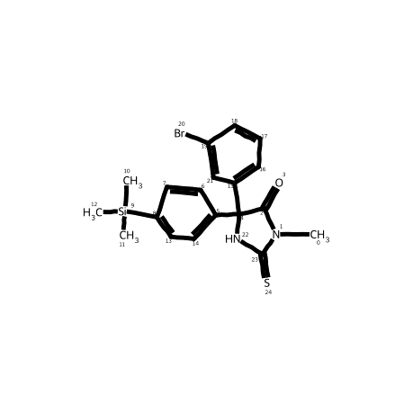 CN1C(=O)C(c2ccc([Si](C)(C)C)cc2)(c2cccc(Br)c2)NC1=S